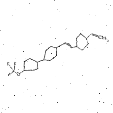 C=CC1CCC(/C=C/C2CCC(C3CCC(OC(F)(F)F)CC3)CC2)CC1